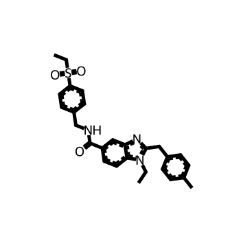 CCn1c(Cc2ccc(C)cc2)nc2cc(C(=O)NCc3ccc(S(=O)(=O)CC)cc3)ccc21